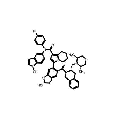 C[C@H]1COC[C@H](C)N1C[C@@H]1Cc2ccccc2CN1C(=O)c1cc2c(cc1-c1cc(C(=O)N(c3ccc(O)cc3)c3ccc4c(ccn4C)c3)c3n1CCCC3)OCO2.Cl